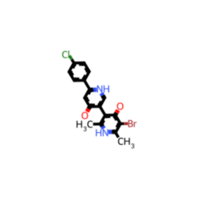 Cc1[nH]c(C)c(-c2c[nH]c(-c3ccc(Cl)cc3)cc2=O)c(=O)c1Br